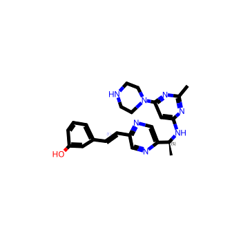 Cc1nc(N[C@@H](C)c2cnc(/C=C/c3cccc(O)c3)cn2)cc(N2CCNCC2)n1